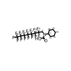 O=C(O)N(CC(F)(F)C(F)(F)C(F)(F)C(F)(F)C(F)(F)C(F)(F)C(F)(F)F)C1CCCCC1